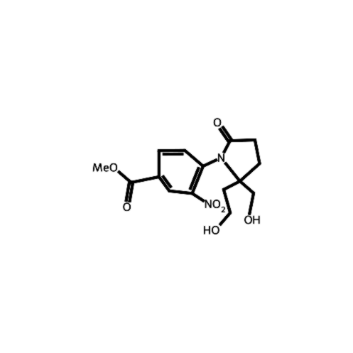 COC(=O)c1ccc(N2C(=O)CCC2(CO)CCO)c([N+](=O)[O-])c1